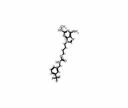 CNc1nc(N)c2ncn(CCCCOC(=O)NCc3cccc(C(F)(F)F)c3)c2n1